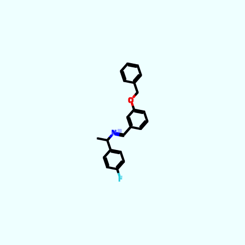 CC(/N=C/c1cccc(OCc2ccccc2)c1)c1ccc(F)cc1